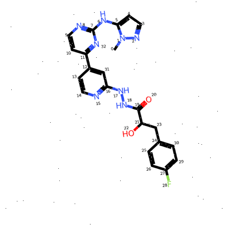 Cn1nccc1Nc1nccc(-c2ccnc(NNC(=O)C(O)Cc3ccc(F)cc3)c2)n1